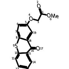 COC(=O)COc1ccc2sc3ccccc3c(=O)c2c1